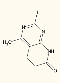 Cc1nc(I)nc2c1CCC(=O)N2